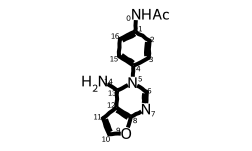 CC(=O)Nc1ccc(N2C=Nc3occc3C2N)cc1